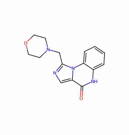 O=c1[nH]c2ccccc2n2c(CN3CCOCC3)ncc12